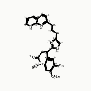 COc1ccc(C(CC(=O)OC(C)(C)C)c2nc(CCCc3ccc4cccnc4n3)co2)cc1F